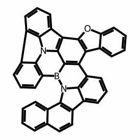 c1ccc2c(c1)ccc1c3cccc4c3n(c21)B1c2cccc3c5cccc6c7c8oc9ccccc9c8c-4c1c7n(c23)c56